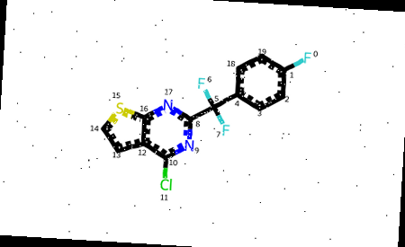 Fc1ccc(C(F)(F)c2nc(Cl)c3ccsc3n2)cc1